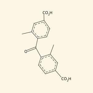 Cc1cc(C(=O)O)ccc1C(=O)c1ccc(C(=O)O)cc1C